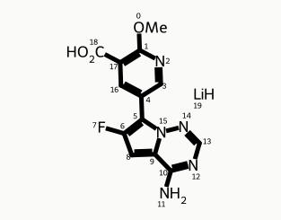 COc1ncc(-c2c(F)cc3c(N)ncnn23)cc1C(=O)O.[LiH]